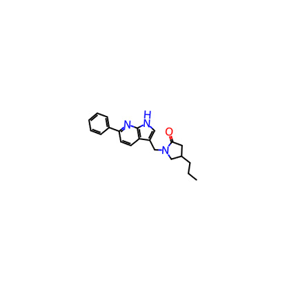 CCCC1CC(=O)N(Cc2c[nH]c3nc(-c4ccccc4)ccc23)C1